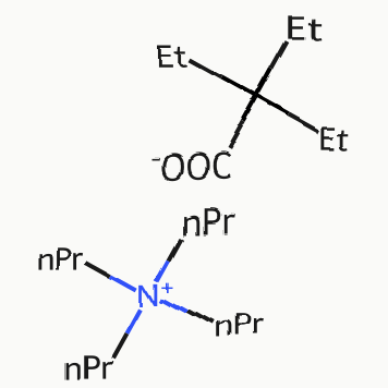 CCC(CC)(CC)C(=O)[O-].CCC[N+](CCC)(CCC)CCC